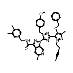 CC#CCCn1nc(C)c(OCc2ccccc2)c1-c1nc(-n2nc(C(=O)NCc3ccc(C)c(C)c3)c3cc(C)ncc32)n(Cc2ccc(OC)cc2)n1